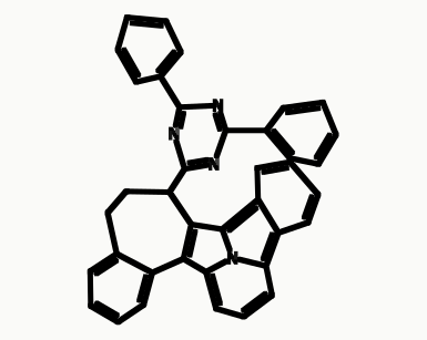 c1ccc(-c2nc(-c3ccccc3)nc(C3CCc4ccccc4-c4c3c3c5ccccc5c5cccc4n53)n2)cc1